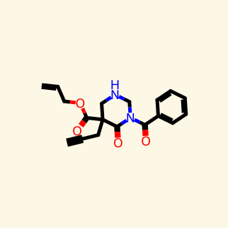 C#CCC1(C(=O)OCC=C)CNCN(C(=O)c2ccccc2)C1=O